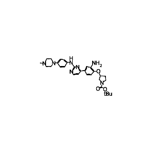 CN1CCN(c2ccc(Nc3nccc(-c4ccc(OC5CCN(C(=O)OC(C)(C)C)C5)c(N)c4)n3)cc2)CC1